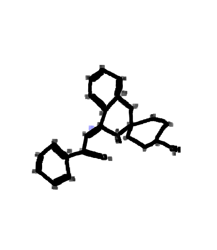 O=C(/C=C1\NC2(CCC(O)CC2)Cc2ccccc21)c1ccccc1